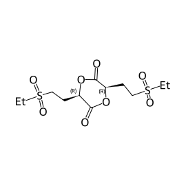 CCS(=O)(=O)CC[C@H]1OC(=O)[C@@H](CCS(=O)(=O)CC)OC1=O